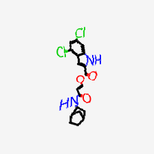 O=C(C=COC(=O)c1cc2c(Cl)cc(Cl)cc2[nH]1)NC1CC2CCC1C2